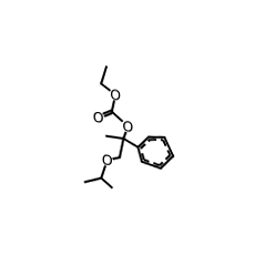 CCOC(=O)OC(C)(COC(C)C)c1ccccc1